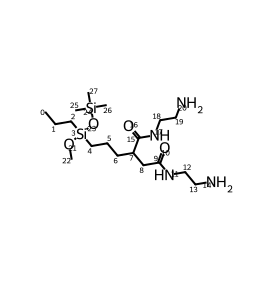 CCC[Si](CCCC(CC(=O)NCCN)C(=O)NCCN)(OC)O[Si](C)(C)C